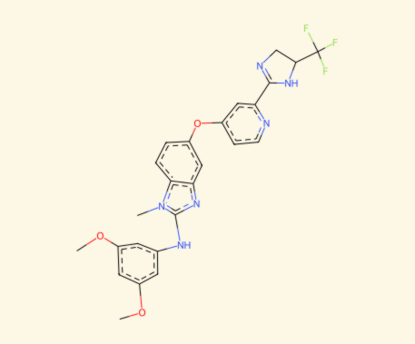 COc1cc(Nc2nc3cc(Oc4ccnc(C5=NCC(C(F)(F)F)N5)c4)ccc3n2C)cc(OC)c1